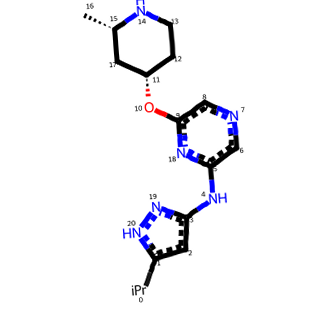 CC(C)c1cc(Nc2cncc(O[C@H]3CCN[C@@H](C)C3)n2)n[nH]1